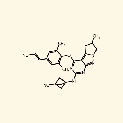 Cc1cc(/C=C/C#N)cc(C)c1Oc1nc(NC23CC(C#N)(C2)C3)nc2nn3c(c12)CC(C)C3